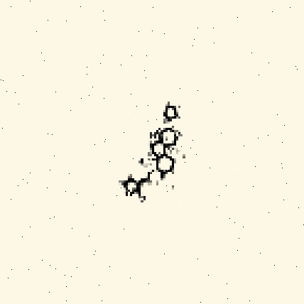 C=C1CCC2[C@]3(C)CO[C@@H](C4CCCC4)O[C@@H]3CC[C@@]2(C)[C@@H]1C/C=C1\C=COC1=O